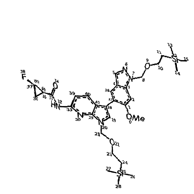 COc1cc2c(cnn2COCC[Si](C)(C)C)cc1-c1cn(COCC[Si](C)(C)C)c2nc(NC(=O)[C@H]3C[C@H]3F)ccc12